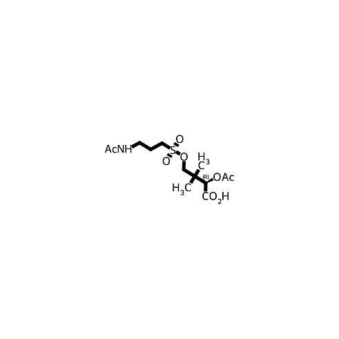 CC(=O)NCCCS(=O)(=O)OCC(C)(C)[C@@H](OC(C)=O)C(=O)O